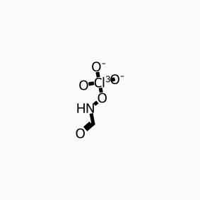 O=CNO[Cl+3]([O-])([O-])[O-]